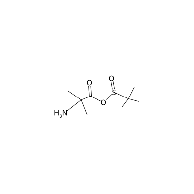 CC(C)(N)C(=O)OS(=O)C(C)(C)C